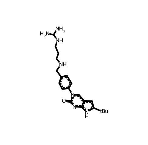 CC(C)(C)c1cc2cn(-c3ccc(CNCCCNC(N)N)cc3)c(=O)nc2[nH]1